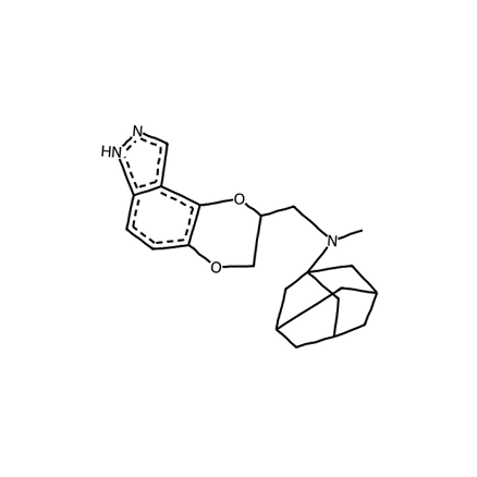 CN(CC1COc2ccc3[nH]ncc3c2O1)C12CC3CC(CC(C3)C1)C2